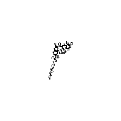 COCCOCCOCCOC(=O)Nc1ccc(CC(C)NC(=O)/C=C/c2c(N(C=N)N=N)ccc(Cl)c2F)cc1